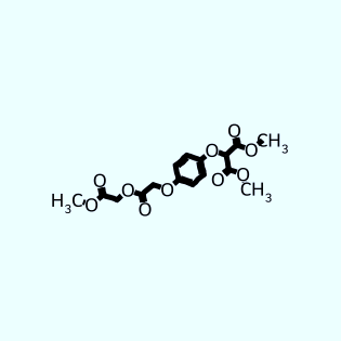 COC(=O)COC(=O)COc1ccc(OC(C(=O)OC)C(=O)OC)cc1